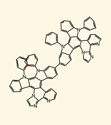 c1ccc(-n2c3ccccc3c3c2c2c4cccnc4c4nccn4c2c2c4ccc(-c5ccc6c7c8c9cccnc9c9nccn9c8c8c9ccccc9n(-c9ccccc9)c8c7n(-c7ccccc7)c6c5)cc4n(-c4ccccc4)c32)cc1